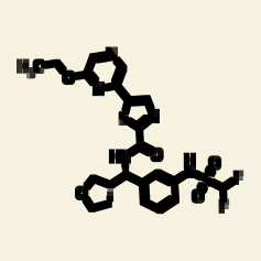 CCOc1cncc(-c2cnc(C(=O)N[C@@H](c3cccc(NS(=O)(=O)C(F)F)c3)[C@@H]3CCOC3)s2)n1